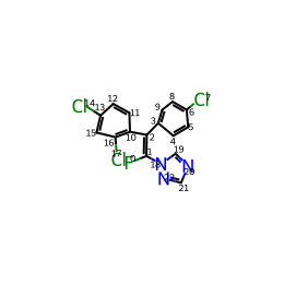 FC(=C(c1ccc(Cl)cc1)c1ccc(Cl)cc1Cl)n1cncn1